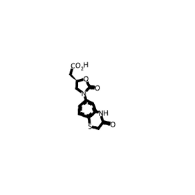 O=C(O)C[C@@H]1CN(c2ccc3c(c2)NC(=O)CS3)C(=O)O1